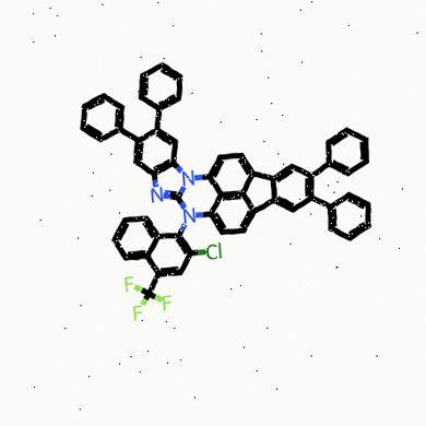 FC(F)(F)c1cc(Cl)c(-n2c3ccc4c5cc(-c6ccccc6)c(-c6ccccc6)cc5c5ccc(c3c45)n3c4cc(-c5ccccc5)c(-c5ccccc5)cc4nc23)c2ccccc12